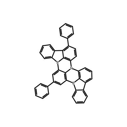 c1ccc(-c2cc3c4c(c2)B2c5ccccc5-c5c(-c6ccccc6)ccc(c52)N4c2cccc4c2B3c2ccccc2-4)cc1